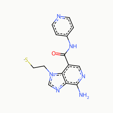 Nc1ncc(C(=O)Nc2ccncc2)c2c1ncn2CC[S]